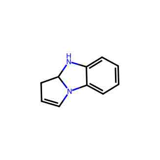 C1=CN2c3ccccc3NC2C1